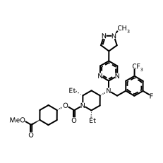 CC[C@@H]1C[C@H](N(Cc2cc(F)cc(C(F)(F)F)c2)c2ncc(C3C=NN(C)C3)cn2)C[C@H](CC)N1C(=O)O[C@H]1CC[C@H](C(=O)OC)CC1